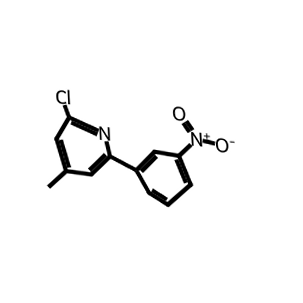 Cc1cc(Cl)nc(-c2cccc([N+](=O)[O-])c2)c1